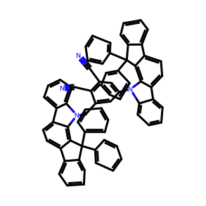 N#Cc1cc(-n2c3ccccc3c3ccc4c(c32)C(c2ccccc2)(c2ccccc2)c2ccccc2-4)cc(Cn2c3ccccc3c3ccc4c(c32)C(c2ccccc2)(c2ccccc2)c2ccccc2-4)c1C#N